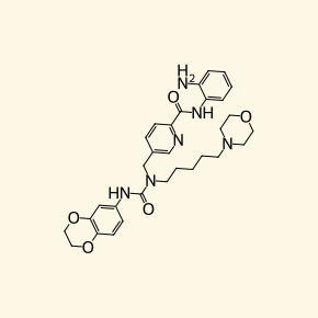 Nc1ccccc1NC(=O)c1ccc(CN(CCCCCN2CCOCC2)C(=O)Nc2ccc3c(c2)OCCO3)cn1